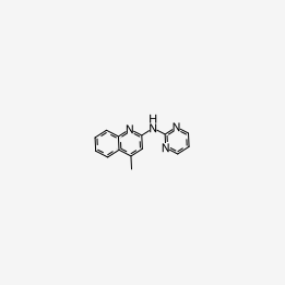 Cc1cc(Nc2ncccn2)nc2ccccc12